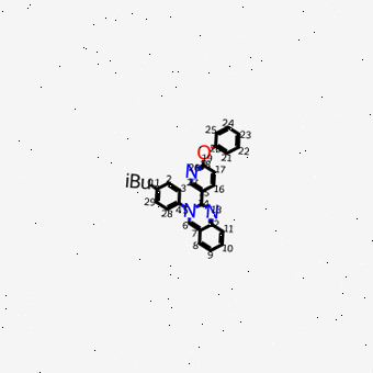 CCC(C)c1ccc(N2C=c3ccccc3=NC2c2ccc(Oc3ccccc3)nc2)cc1